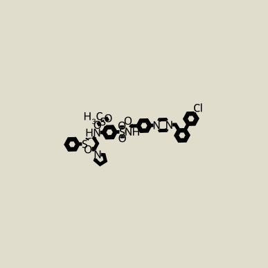 CS(=O)(=O)c1cc(S(=O)(=O)NC(=O)c2ccc(N3CCN(Cc4ccccc4-c4ccc(Cl)cc4)CC3)cc2)ccc1N[C@@H](CSc1ccccc1)CC(=O)N1CCCC1